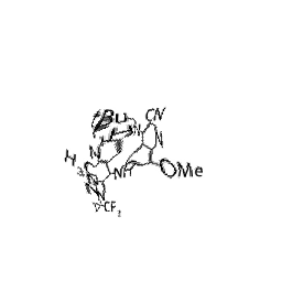 COc1cc(NC(c2cn(C3(C(F)(F)F)CC3)nn2)c2ccc(F)nc2C)cc2c(NCC(C)(C)C)c(C#N)cnc12